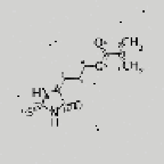 C=C(C)C(=O)OCCCC1NC(=S)NC1=O